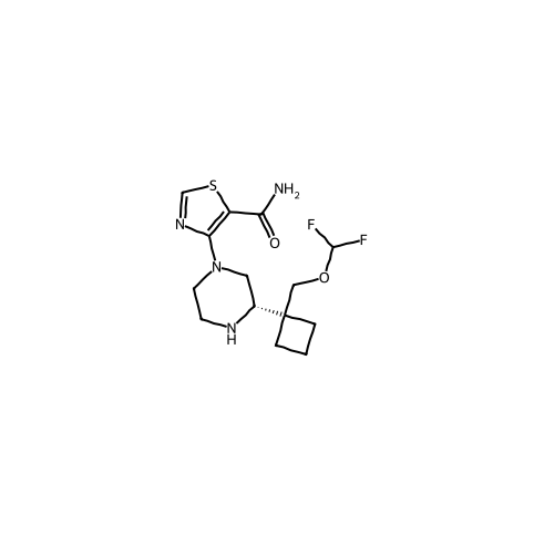 NC(=O)c1scnc1N1CCN[C@@H](C2(COC(F)F)CCC2)C1